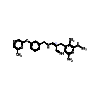 Cc1cncc(Oc2cccc(CN/C=C(\C=N)Cc3cc(N)nc(NN)c3N)c2)n1